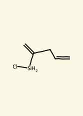 C=CCC(=C)[SiH2]Cl